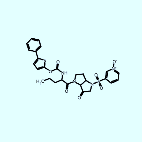 CCCC(NC(=O)Oc1ccc(-c2ccccc2)s1)C(=O)N1CCC2C1C(=O)CN2S(=O)(=O)c1ccc[n+]([O-])c1